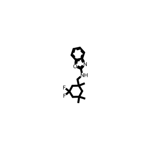 CC1(C)CC(F)(F)CC(C)(CNc2nc3ccccc3o2)C1